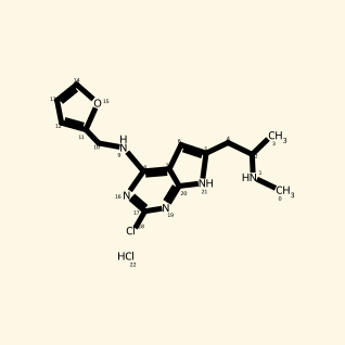 CNC(C)Cc1cc2c(NCc3ccco3)nc(Cl)nc2[nH]1.Cl